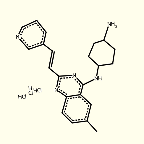 Cc1ccc2nc(/C=C/c3cccnc3)nc(NC3CCC(N)CC3)c2c1.Cl.Cl.Cl